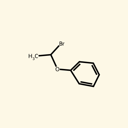 CC(Br)Oc1ccccc1